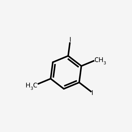 Cc1cc(I)c(C)c(I)c1